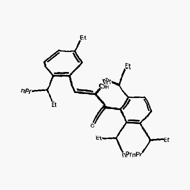 CCCC(CC)c1ccc(CC)cc1C=C(O)C(=O)c1c(C(CC)CCC)ccc(C(CC)CCC)c1C(CC)CCC